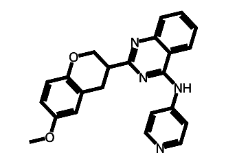 COc1ccc2c(c1)CC(c1nc(Nc3ccncc3)c3ccccc3n1)CO2